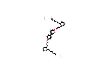 CCCCCCC1CCCCC1CCCOc1ccc(-c2ccc(OCCCC3CCCCC3CCCCCC)cc2)cc1